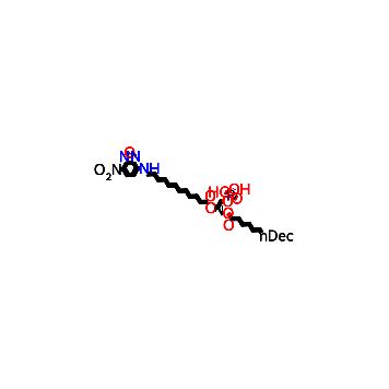 CCCCCCCCCCCCCCCC(=O)OC[C@H](COP(=O)(O)O)OC(=O)CCCCCCCCCCCNc1ccc([N+](=O)[O-])c2nonc12